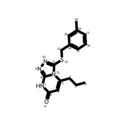 CCCc1cc(=O)[nH]c2nnc(SCc3cccc(C)c3)n12